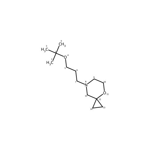 CC(C)(C)OCCCN1CCOC2(CC2)C1